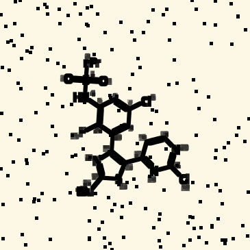 CCCS(=O)(=O)Nc1cc(Cl)cc(-c2nc(C(C)(C)C)sc2-c2ccnc(Cl)n2)c1F